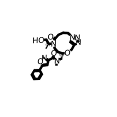 C[C@@H](CO)N1CC[C@H](CN(C)C(=O)c2cc(-c3ccccc3)on2)OCc2cn(nn2)CCCC1=O